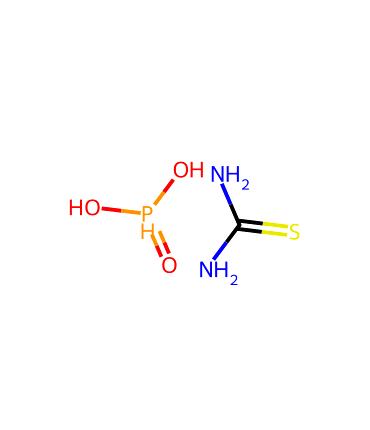 NC(N)=S.O=[PH](O)O